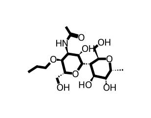 CCCO[C@H]1[C@@H](NC(C)=O)[C@H](O)C([C@H]2[C@H](O)[C@@H](O)[C@@H](C)O[C@@H]2CO)O[C@@H]1CO